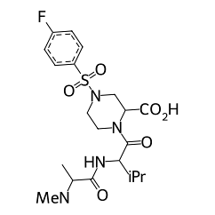 CNC(C)C(=O)NC(C(=O)N1CCN(S(=O)(=O)c2ccc(F)cc2)CC1C(=O)O)C(C)C